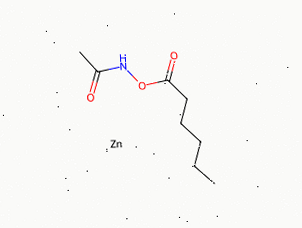 CCCCCC(=O)ONC(C)=O.[Zn]